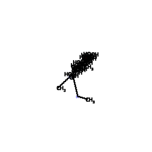 CCCCCCCC/C=C\CCCCCCCCCCCCCCCC(=O)N[C@@H](CO[C@@H]1OC(CO)[C@@H](O[C@@H]2OC(CO)[C@H](O[C@@H]3OC(CO)[C@H](O)[C@H](O[C@@H]4OC(CO)[C@H](O)[C@H](O[C@]5(C(=O)O)CC(O)[C@@H](O)C([C@H](O)[C@H](O)CO)O5)C4O)C3NC(C)=O)[C@H](O)C2O)[C@H](O)C1O)[C@H](O)/C=C/CCCCCCCCCCCCC